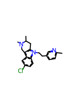 Cc1ccc(CCn2c3c(c4cc(Cl)ccc42)CN(C)C(C)C3)cn1